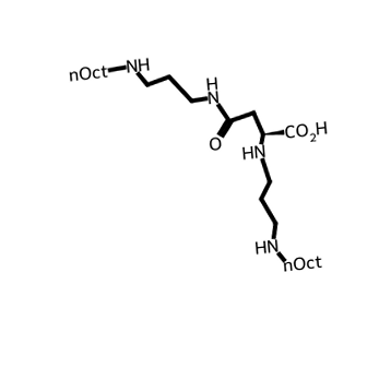 CCCCCCCCNCCCNC(=O)C[C@H](NCCCNCCCCCCCC)C(=O)O